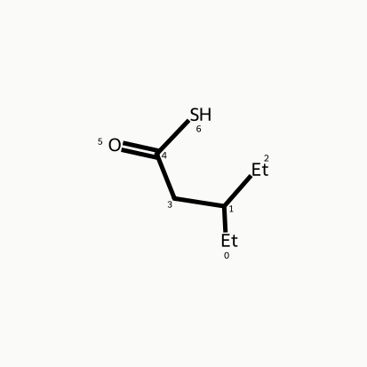 CCC(CC)CC(=O)S